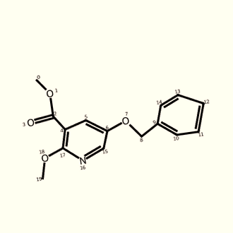 COC(=O)c1cc(OCc2ccccc2)cnc1OC